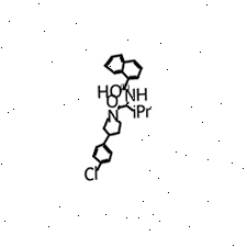 CC(C)C(N[C@H](O)c1cccc2ccccc12)C(=O)N1CCC(c2ccc(Cl)cc2)CC1